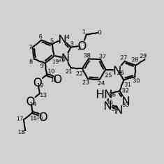 CCOc1nc2cccc(C(=O)OCOC(=O)CC)c2n1Cc1ccc(-n2cc(C)cc2-c2nnn[nH]2)cc1